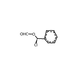 O=[C]O[C@H](Cl)c1ccccc1